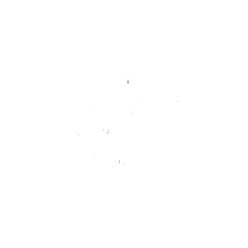 COC(=O)[C@H](N)NC(=O)[C@H](CC(C)C)NC(=O)OC(C)(C)C